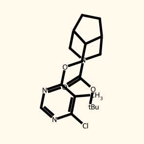 Cc1c(Cl)ncnc1OCC1C2CCC1CN(C(=O)OC(C)(C)C)C2